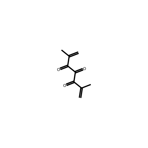 C=C(C)C(=O)C(=O)C(=O)C(=C)C